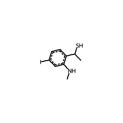 CNc1cc(I)ccc1C(C)S